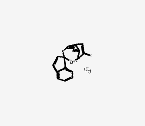 IC1=Cc2c3cccc2[CH]1[Zr+2][C]1(C=Cc2ccccc21)S3.[Cl-].[Cl-]